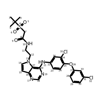 CC(C)(C)S(=O)(=O)CC(=O)NCCn1ccc2ncnc(Nc3ccc(Oc4cccc(Cl)c4)c(Cl)c3)c21